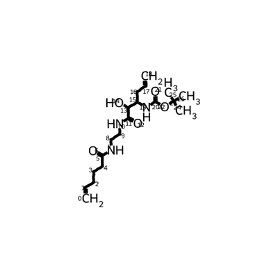 C=CCCCC(=O)NCCNC(=O)C(O)C(CC=C)NC(=O)OC(C)(C)C